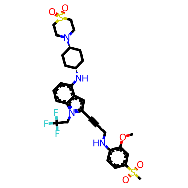 COc1cc(S(C)(=O)=O)ccc1NCC#Cc1cc2c(N[C@H]3CC[C@H](N4CCS(=O)(=O)CC4)CC3)cccc2n1CC(F)(F)F